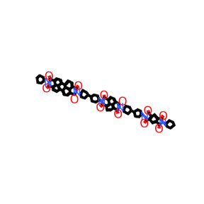 O=C1c2ccc3c4c(ccc(c24)C(=O)N1C1CCC(C2CCC(N4C(=O)c5ccc6c7ccc8c9c(ccc(c%10ccc(c5c6%10)C4=O)c97)C(=O)N(C4CCCCC4)C8=O)CC2)CC1)C(=O)N(C1CCC(C2CCC(n4c(=O)c5cc6c(=O)n(C7CCCCC7)c(=O)c6cc5c4=O)CC2)CC1)C3=O